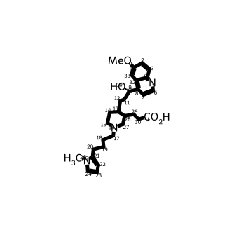 COc1ccc2nccc([C@@H](O)CCC3CCN(CCCCc4cccn4C)CC3CCC(=O)O)c2c1